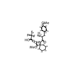 COC(=O)C1(NC(=O)[C@@H](N)Cc2ccc(OC)cc2)CCCCC1.O=C(O)C(F)(F)F